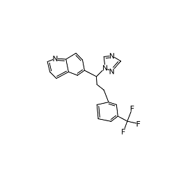 FC(F)(F)c1cccc(CCC(c2ccc3ncccc3c2)n2cncn2)c1